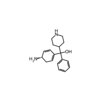 N[C@H]1C=CC(C(O)(c2ccccc2)C2CCNCC2)=CC1